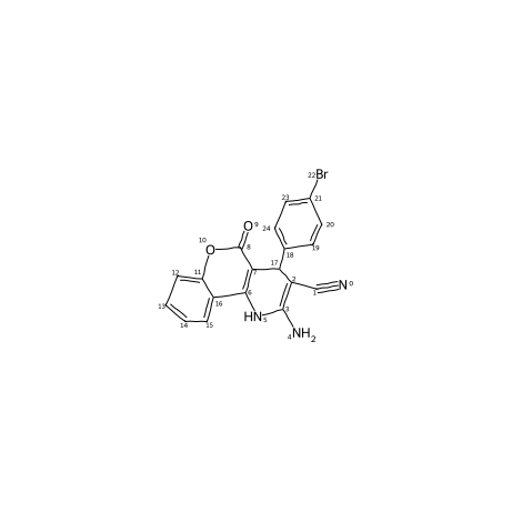 N#CC1=C(N)Nc2c(c(=O)oc3ccccc23)C1c1ccc(Br)cc1